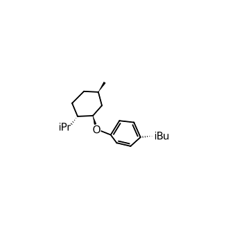 CC[C@@H](C)c1ccc(O[C@@H]2C[C@H](C)CC[C@H]2C(C)C)cc1